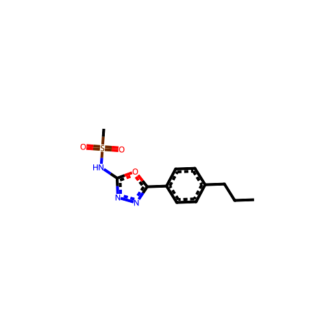 CCCc1ccc(-c2nnc(NS(C)(=O)=O)o2)cc1